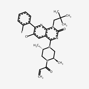 C=CC(=O)N1C[C@H](C)N(c2nc(=O)n(CC(C)(C)C)c3nc(-c4ccccc4F)c(Cl)cc23)C[C@H]1C